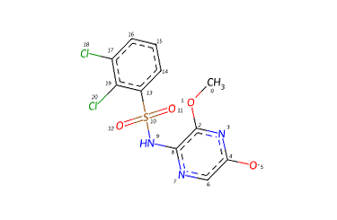 COc1nc([O])cnc1NS(=O)(=O)c1cccc(Cl)c1Cl